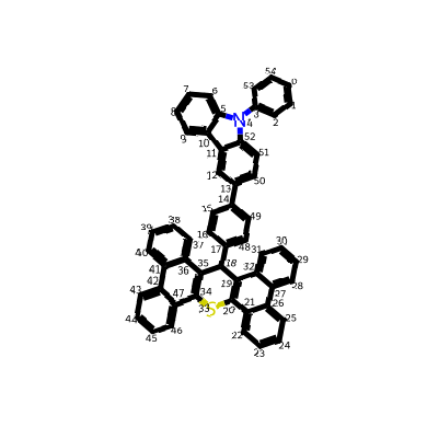 c1ccc(-n2c3ccccc3c3cc(-c4ccc(C5c6c(c7ccccc7c7ccccc67)Sc6c5c5ccccc5c5ccccc65)cc4)ccc32)cc1